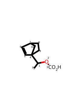 [CH2]C(OC(=O)O)C12C=CC(CC1)C2